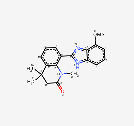 COc1cccc2[nH]c(-c3cccc4c3N(C)C(=O)CC4(C)C)nc12